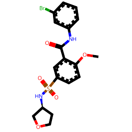 COc1ccc(S(=O)(=O)N[C@H]2CCOC2)cc1C(=O)Nc1cccc(Br)c1